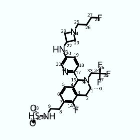 C[C@@H]1Cc2c(ccc(CCN[SH](=O)=O)c2F)[C@@H](c2ccc(NC3CN(CCCF)C3)cn2)N1CC(F)(F)F